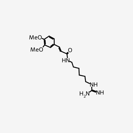 COc1ccc(C=CC(=O)NCCCCCCNC(=N)N)cc1OC